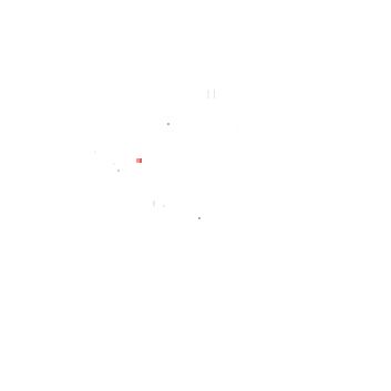 Cc1nc(N2CC3CCC(C2)N3C(=O)OC(C)(C)C)c2cnc(-c3c(F)c(O)cc4ccccc34)c(F)c2c1C